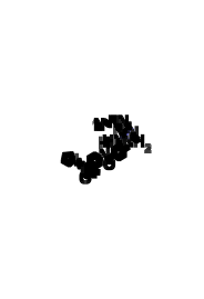 C=C/N=C1/C=NC(N(C)CCN(C)C)=N/C1=C(/N)Nc1cc(C(=O)Nc2ccc3c(c2)C(C)(C)C(=O)N3CCN2CCCC2)ccc1C